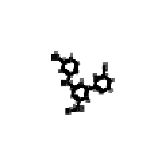 CC(C)Nc1cc(Nc2ccnc(C#N)c2)nc(-c2cccc(Cl)n2)n1